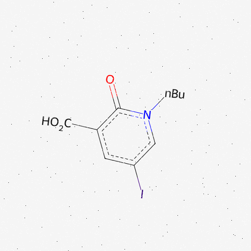 CCCCn1cc(I)cc(C(=O)O)c1=O